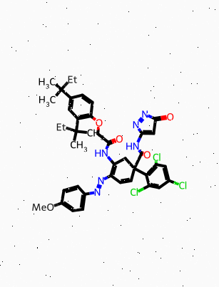 CCC(C)(C)c1ccc(OCC(=O)NC2=C(N=Nc3ccc(OC)cc3)C=CC(C(=O)NC3=CC(=O)N=N3)(c3c(Cl)cc(Cl)cc3Cl)C2)c(C(C)(C)CC)c1